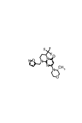 C[C@@H]1COCCN1c1cc(=O)n2c(n1)N(Cc1ccno1)CCC2C(F)(F)F